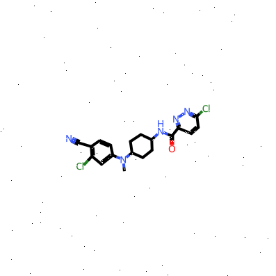 CN(c1ccc(C#N)c(Cl)c1)C1CCC(NC(=O)c2ccc(Cl)nn2)CC1